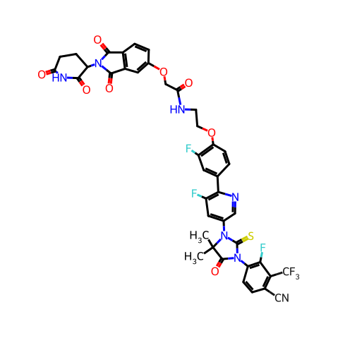 CC1(C)C(=O)N(c2ccc(C#N)c(C(F)(F)F)c2F)C(=S)N1c1cnc(-c2ccc(OCCNC(=O)COc3ccc4c(c3)C(=O)N(C3CCC(=O)NC3=O)C4=O)c(F)c2)c(F)c1